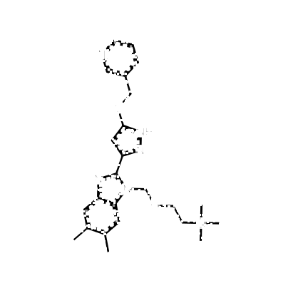 Cc1cc2nc(-c3cc(SCc4cccnc4)[nH]n3)n(COCC[Si](C)(C)C)c2cc1C